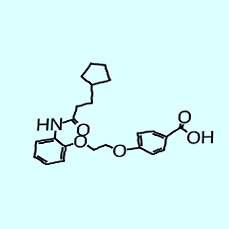 O=C(CCC1CCCC1)Nc1ccccc1OCCOc1ccc(C(=O)O)cc1